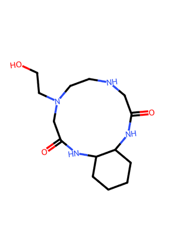 O=C1CNCCN(CCO)CC(=O)NC2CCCCC2N1